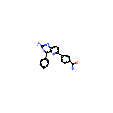 NC(=O)c1ccc(-c2ccc3nc(N)nc(-c4ccccc4)c3n2)cc1